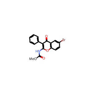 COC(=O)Nc1oc2ccc(Br)cc2c(=O)c1-c1ccccc1